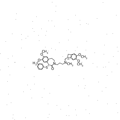 COc1cc2c(cc1OC)C(Sc1ccccc1)C(=O)N(CCCN(C)C[C@H]1Cc3cc(OC)c(OC)cc31)CC2